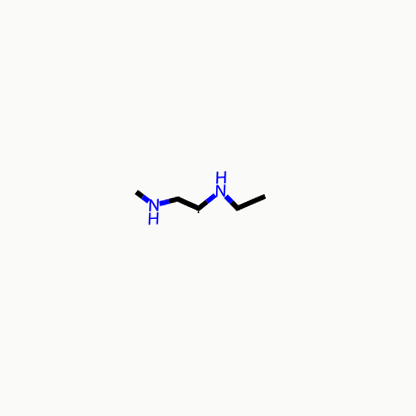 CCN[CH]CNC